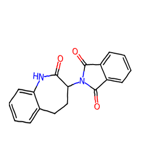 O=C1Nc2ccccc2CCC1N1C(=O)c2ccccc2C1=O